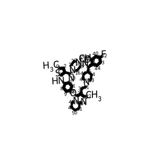 Cc1cc2c(s1)Nc1ccccc1N=C2N1CCN(C)CC1.Cc1nc2n(c(=O)c1CCN1CCC(c3noc4cc(F)ccc34)CC1)CCCC2